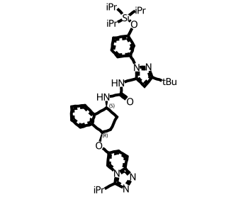 CC(C)c1nnc2ccc(O[C@@H]3CC[C@H](NC(=O)Nc4cc(C(C)(C)C)nn4-c4cccc(O[Si](C(C)C)(C(C)C)C(C)C)c4)c4ccccc43)cn12